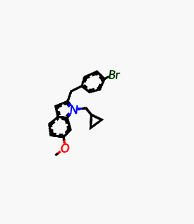 COc1ccc2cc(Cc3ccc(Br)cc3)n(CC3CC3)c2c1